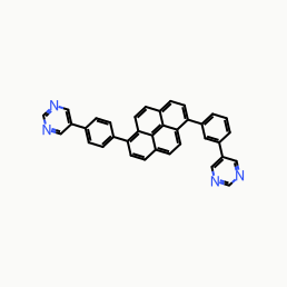 c1cc(-c2cncnc2)cc(-c2ccc3ccc4c(-c5ccc(-c6cncnc6)cc5)ccc5ccc2c3c54)c1